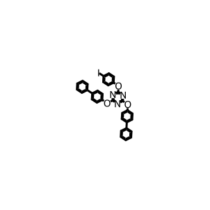 Ic1ccc(Oc2nc(Oc3ccc(-c4ccccc4)cc3)nc(Oc3ccc(-c4ccccc4)cc3)n2)cc1